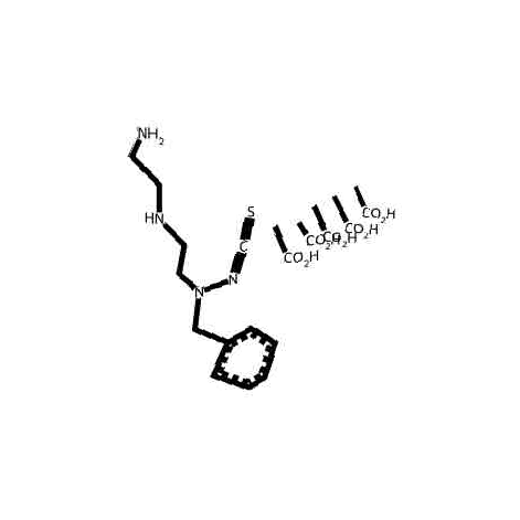 CC(=O)O.CC(=O)O.CC(=O)O.CC(=O)O.CC(=O)O.NCCNCCN(Cc1ccccc1)N=C=S